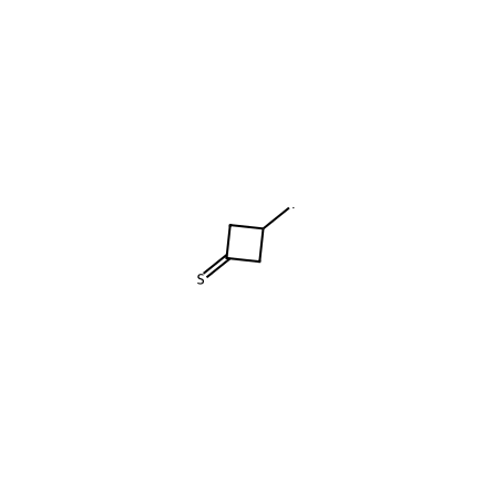 [CH2]C1CC(=S)C1